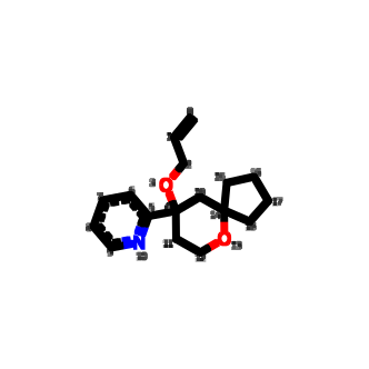 C=CCOC1(c2ccccn2)CCOC2(CCCC2)C1